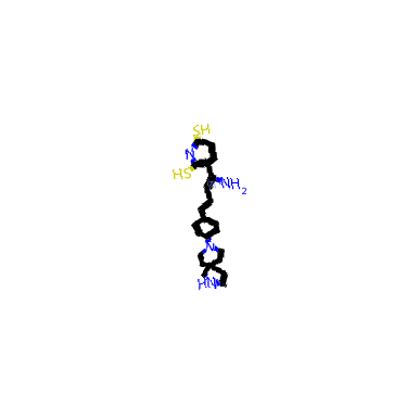 N/C(=C\CCc1ccc(N2CCC3(CCNC3)CC2)cc1)c1ccc(S)nc1S